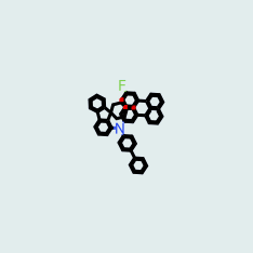 Fc1cccc(-c2cccc3cccc(-c4cccc(N(c5ccc(-c6ccccc6)cc5)c5cccc6c5C5(CCCCC5)c5ccccc5-6)c4)c23)c1